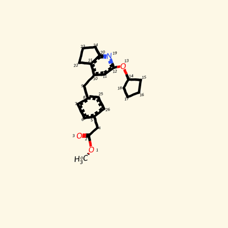 COC(=O)Cc1ccc(Cc2cc(OC3CCCC3)nc3c2CCC3)cc1